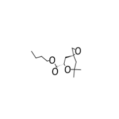 CCCCOC(=O)[C@@H]1C[C@]2(CO2)CC(C)(C)O1